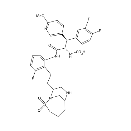 COc1ccc([C@@H](c2ccc(F)c(F)c2)[C@H](NC(=O)O)C(=O)Nc2cccc(F)c2CCC2CNC3CCCS(=O)(=O)N2C3)cn1